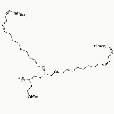 CCCCC/C=C\C/C=C\CCCCCCCCOCC(CCN(C)CCOC)OCCCCCCCC/C=C\C/C=C\CCCCC